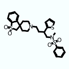 CN(CC(CCN1CCC2(CC1)CS(=O)(=O)c1ccccc12)c1cccs1)S(=O)(=O)c1ccccc1